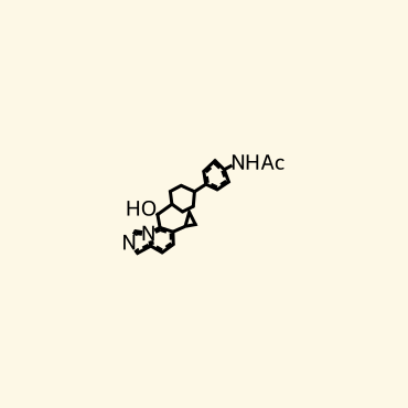 CC(=O)Nc1ccc(C2CCC([C@H](O)c3c(C4CC4)ccc4cncn34)CC2)cc1